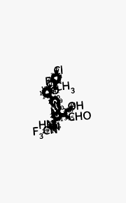 C[C@]1(c2ccc(Cl)cc2F)Oc2cccc(C3CCN(Cc4ncc(-c5nnc(C(F)(F)F)[nH]5)cc4C(CC=O)CCO)CC3)c2O1